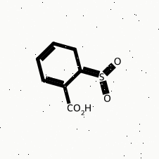 O=C(O)C1=CC=CCC1=S(=O)=O